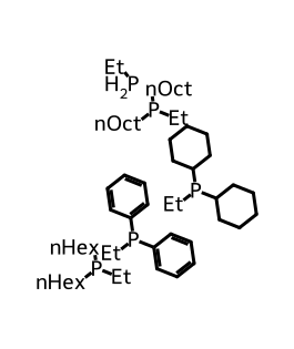 CCCCCCCCP(CC)CCCCCCCC.CCCCCCP(CC)CCCCCC.CCP.CCP(C1CCCCC1)C1CCCCC1.CCP(c1ccccc1)c1ccccc1